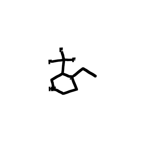 CCN1CCNCC1C(F)(F)F